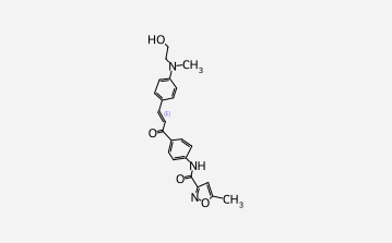 Cc1cc(C(=O)Nc2ccc(C(=O)/C=C/c3ccc(N(C)CCO)cc3)cc2)no1